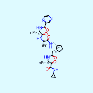 CCC[C@H](NC(=O)c1cnccn1)C(=O)N[C@H](C(=O)NC[C@@H]1CCC[C@@H]1CC(=O)N[C@@H](CCC)C(=O)C(=O)NC1CC1)C(C)C